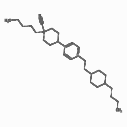 CCCCCC1(C#N)CCC(c2ccc(CCC3CCC(CCCC)CC3)cc2)CC1